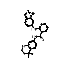 CC1(C)CCNc2cc(NC(=O)c3cccnc3Nc3ccc4cn[nH]c4c3)ccc21